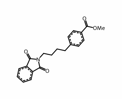 COC(=O)c1ccc(CCCCN2C(=O)c3ccccc3C2=O)cc1